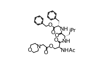 CC(=O)N[C@@H](COC(=O)CN1CCOCC1)C(=O)N[C@@H](CC(C)C)C(=O)N[C@@H](Cc1ccccc1)C(=O)OCc1ccccc1